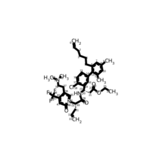 C=CCCCCc1cc(C)cc(C)c1-c1ccc(Cl)c([C@H](CC(=O)OCC)NC(=O)[C@H](CC=C)n2cc(CCN(C)C)c(C(F)(F)F)cc2=O)c1